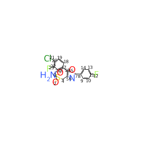 NS(=O)(=O)Cc1nc(-c2ccc(F)cc2)oc1-c1ccc(Cl)c(F)c1